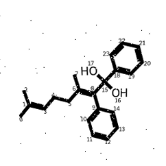 CC(C)=CCC/C(C)=C(\c1ccccc1)C(O)(O)c1ccccc1